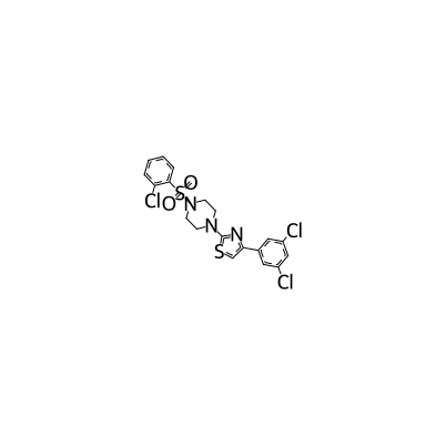 O=S(=O)(c1ccccc1Cl)N1CCN(c2nc(-c3cc(Cl)cc(Cl)c3)cs2)CC1